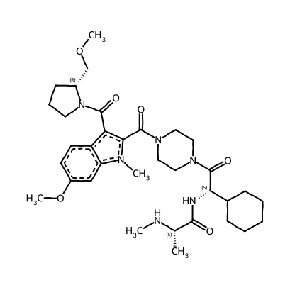 CN[C@@H](C)C(=O)N[C@H](C(=O)N1CCN(C(=O)c2c(C(=O)N3CCC[C@@H]3COC)c3ccc(OC)cc3n2C)CC1)C1CCCCC1